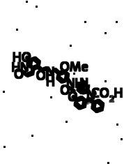 COc1cc(NC(=O)COc2cccc([C@H](c3ccccc3)N(C(=O)O)C3CN4CCC3CC4)c2)ccc1CNCC(O)c1ccc(O)c2[nH]c(=O)ccc12